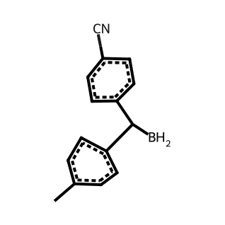 BC(c1ccc(C)cc1)c1ccc(C#N)cc1